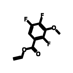 C=COC(=O)c1cc(F)c(F)c(OC)c1F